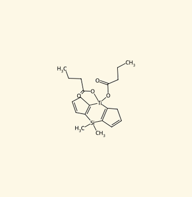 CCCC(=O)[O][Ti]1([O]C(=O)CCC)[C]2=C(C=CC2)[Si](C)(C)C2=[C]1CC=C2